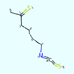 CC(=S)CCCCN=C=S